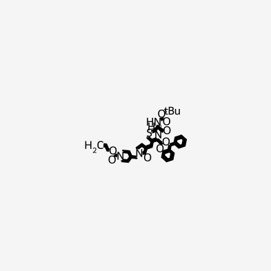 C=CCOC(=O)N1CCC(CN2CCC(=CC3=C(C(=O)OC(c4ccccc4)c4ccccc4)N4C(=O)[C@@H](NC(=O)OC(C)(C)C)[C@H]4SC3)C2=O)CC1